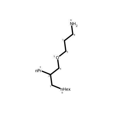 CCCCCCCC(CCC)COCCCN